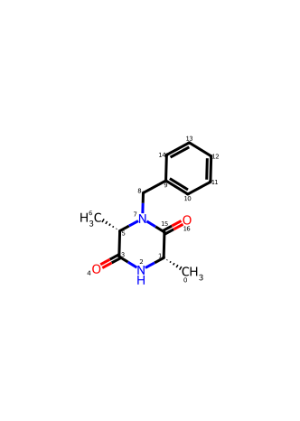 C[C@@H]1NC(=O)[C@H](C)N(Cc2ccccc2)C1=O